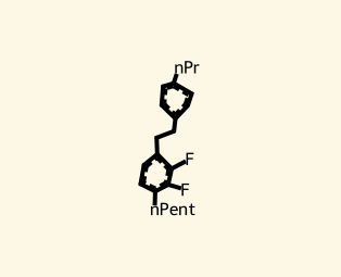 CCCCCc1ccc(CCc2ccc(CCC)cc2)c(F)c1F